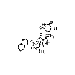 CC(C)OC(=O)[C@@H](C)N[P@](=O)(OC[C@H]1O[C@@H](n2cc(Cl)c(=O)[nH]c2=O)[C@](C)(F)[C@@H]1O)Oc1cccc2ccccc12